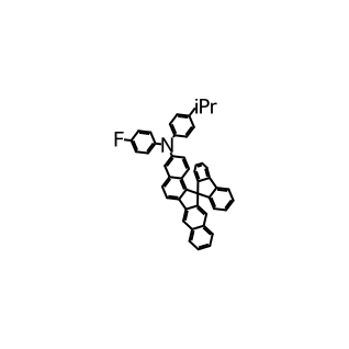 CC(C)c1ccc(N(c2ccc(F)cc2)c2ccc3c4c(ccc3c2)-c2cc3ccccc3cc2C42c3ccccc3-c3ccccc32)cc1